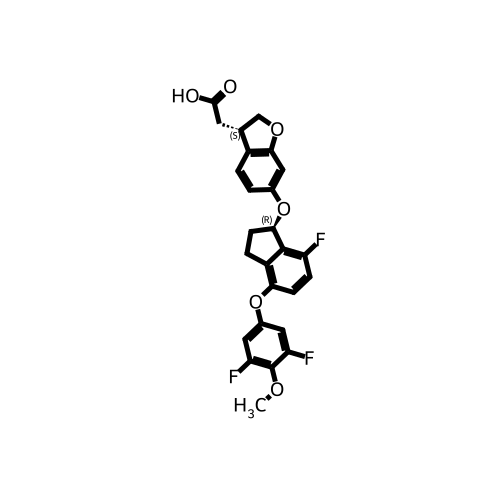 COc1c(F)cc(Oc2ccc(F)c3c2CC[C@H]3Oc2ccc3c(c2)OC[C@H]3CC(=O)O)cc1F